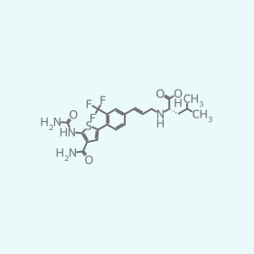 CC(C)C[C@H](NC/C=C/c1ccc(-c2cc(C(N)=O)c(NC(N)=O)s2)c(C(F)(F)F)c1)C(=O)O